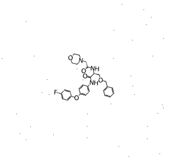 O=C(CN1CCOCC1)N[C@@H](COCc1ccccc1)C(=O)Nc1ccc(Oc2ccc(F)cc2)cc1